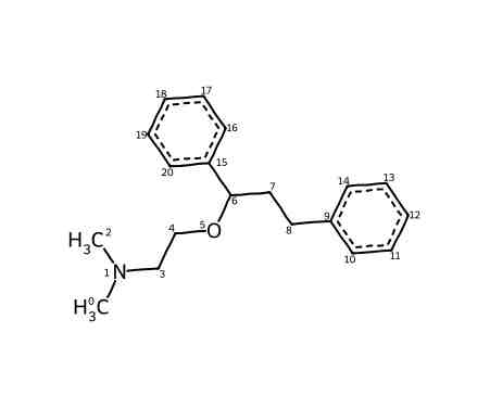 CN(C)CCOC(CCc1ccccc1)c1ccccc1